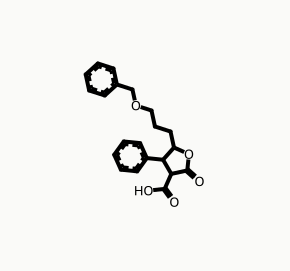 O=C(O)C1C(=O)OC(CCCOCc2ccccc2)C1c1ccccc1